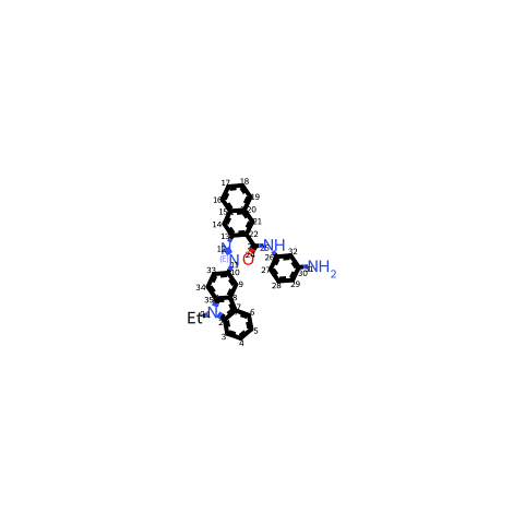 CCn1c2ccccc2c2cc(/N=N/c3cc4ccccc4cc3C(=O)Nc3cccc(N)c3)ccc21